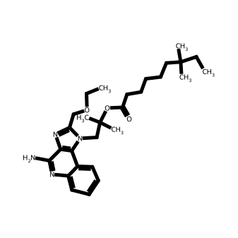 CCOCc1nc2c(N)nc3ccccc3c2n1CC(C)(C)OC(=O)CCCCCC(C)(C)CC